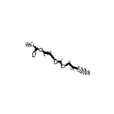 CCC(C)C(=O)OCCOCOCCSC